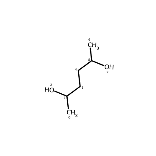 CC(O)[CH]CC(C)O